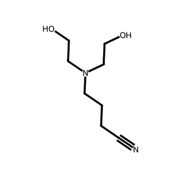 N#CCCCN(CCO)CCO